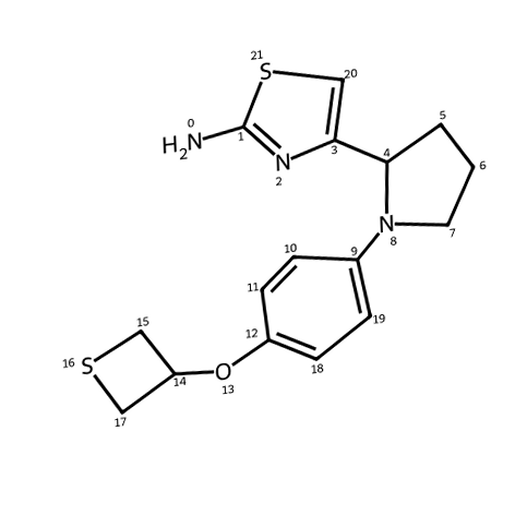 Nc1nc(C2CCCN2c2ccc(OC3CSC3)cc2)cs1